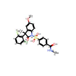 CCOc1ccc2c(c1)C(C)(c1c(F)cccc1Cl)C(=O)N2S(=O)(=O)c1ccc(C(=O)NC(C)(C)C)cc1